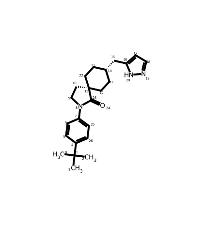 CC(C)(C)c1ccc(N2CC[C@]3(CC[C@@H](Cc4ccn[nH]4)CC3)C2=O)cc1